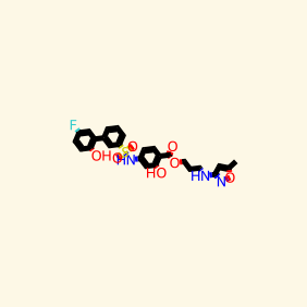 Cc1cc(NCCCOC(=O)c2ccc(NS(=O)(=O)c3cccc(-c4cc(F)ccc4O)c3)cc2O)no1